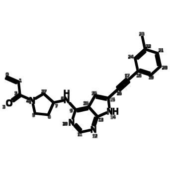 C=CC(=O)N1CCC(Nc2ncnc3[nH]c(C#Cc4cccc(C)c4)cc23)C1